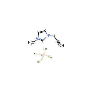 C#CCn1cc[n+](C)c1.F[B-](F)(F)F